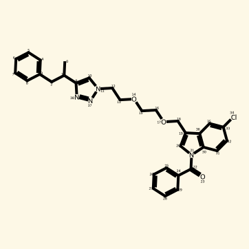 CC(Cc1ccccc1)c1cn(CCOCCOCc2cn(C(=O)c3ccccc3)c3ccc(Cl)cc23)nn1